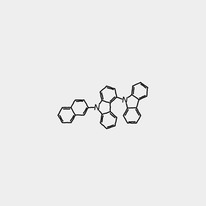 c1ccc2cc(-n3c4ccccc4c4c(-n5c6ccccc6c6ccccc65)cccc43)ccc2c1